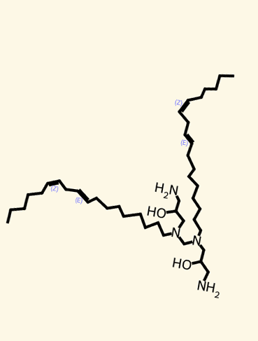 CCCCC/C=C\C/C=C/CCCCCCCCN(CC(O)CN)CN(CCCCCCCC/C=C/C/C=C\CCCCC)CC(O)CN